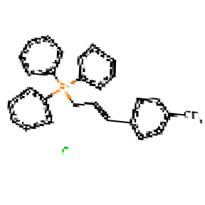 FC(F)(F)c1ccc(C=CC[P+](c2ccccc2)(c2ccccc2)c2ccccc2)cc1.[Cl-]